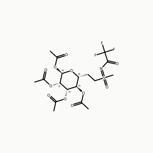 CC(=O)O[C@H]1O[C@H](CCS(C)(=O)=NC(=O)C(F)(F)F)[C@@H](OC(C)=O)[C@H](OC(C)=O)[C@@H]1OC(C)=O